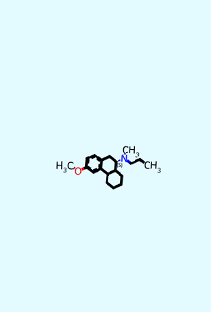 CCCN(C)[C@H]1Cc2ccc(OC)cc2C2CCCCC21